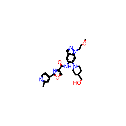 COCCn1ncc2cc(NC(=O)c3coc(-c4ccnc(C)c4)n3)c(N3CCC(CO)CC3)cc21